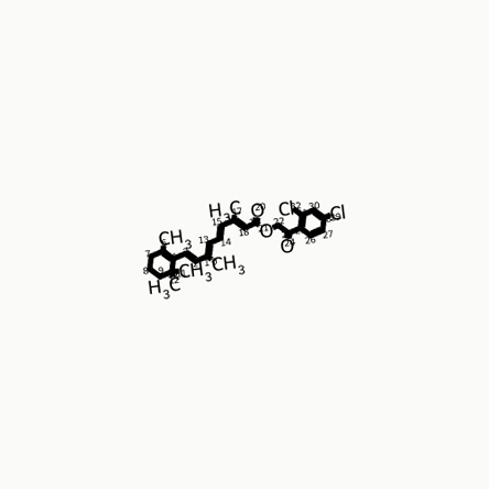 CC(C=CC1=C(C)CCCC1(C)C)=CC=CC(C)=CC(=O)OCC(=O)c1ccc(Cl)cc1Cl